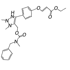 CCOC(=O)/C=C/Oc1ccc(C2=C(COC(=O)N(C)Cc3ccccc3)N(C)N(C)N2)cc1